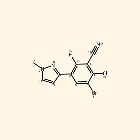 Cn1ccc(-c2cc(Br)c(Cl)c(C#N)c2F)n1